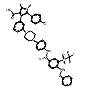 Cc1c(C(=O)O)c(-c2cccc(N3CCN(c4ccc(N[S+]([O-])c5ccc(NSc6ccccc6)c(S(=O)(=O)C(F)(F)F)c5)cc4)CC3)c2)c(-c2ccc(Cl)cc2)n1C